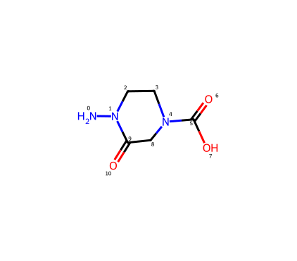 NN1CCN(C(=O)O)CC1=O